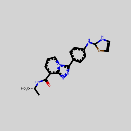 C[C@@H](NC(=O)c1cccn2c(-c3ccc(NC4NC=CS4)cc3)nnc12)C(=O)O